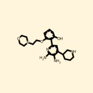 Nc1nc(-c2c(O)cccc2OCCN2CCOCC2)cc(C2CCCNC2)c1N